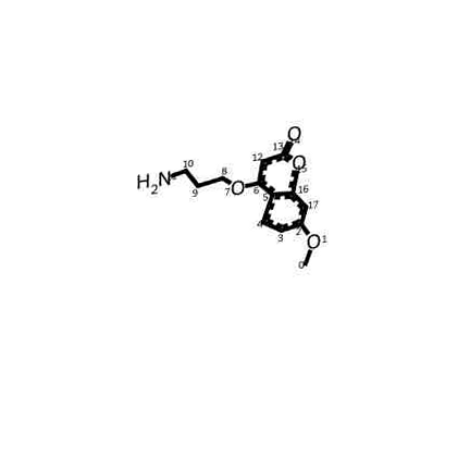 COc1ccc2c(OCCCN)cc(=O)oc2c1